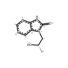 C[C@H](O)Cn1c(=O)[nH]c2ncncc21